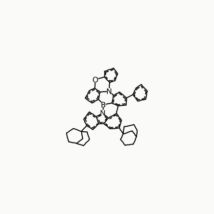 c1ccc(-c2cc3c4c(c2)N2c5ccccc5Oc5cccc(c52)B4n2c4ccc(C56CCCC(CCC5)C6)cc4c4cc(C56CCCC(CCC5)C6)cc-3c42)cc1